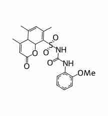 COc1ccccc1NC(=O)NS(=O)(=O)C1=C(C)C=C(C)C2C(C)=CC(=O)OC12